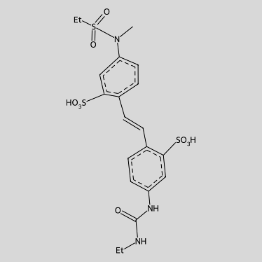 CCNC(=O)Nc1ccc(/C=C/c2ccc(N(C)S(=O)(=O)CC)cc2S(=O)(=O)O)c(S(=O)(=O)O)c1